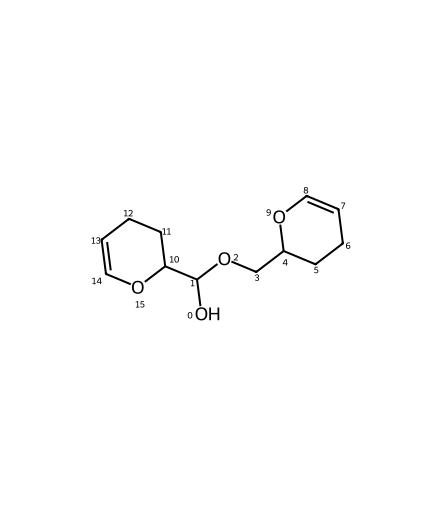 OC(OCC1CCC=CO1)C1CCC=CO1